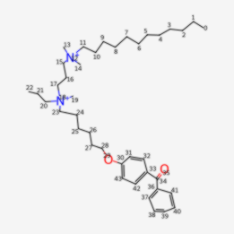 CCCCCCCCCCCC[N+](C)(C)CCC[N+](C)(CCC)CCCCCCOc1ccc(C(=O)c2ccccc2)cc1